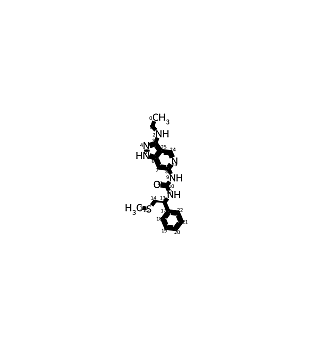 CCNc1n[nH]c2cc(NC(=O)N[C@H](CSC)c3ccccc3)ncc12